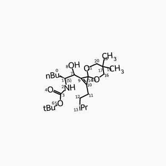 CCCC[C@H](NC(=O)OC(C)(C)C)C(O)C1=C(CCC(C)C)C12OCC(C)(C)CO2